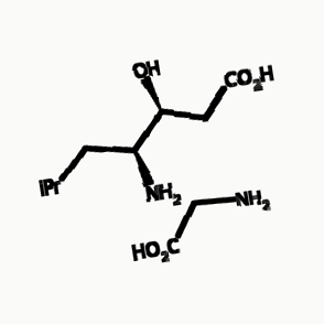 CC(C)C[C@H](N)[C@@H](O)CC(=O)O.NCC(=O)O